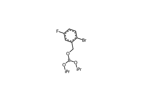 CC(C)OB(OCc1cc(F)ccc1Br)OC(C)C